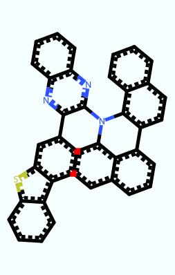 c1ccc2c3c(ccc2c1)-c1cccc2cccc(c12)N3c1nc2ccccc2nc1-c1ccc2c(c1)sc1ccccc12